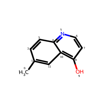 Cc1ccc2nc[c]c(O)c2c1